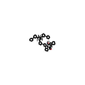 c1ccc(-c2cccc(-c3nc(-c4cccc(-c5ccccc5)c4)nc(-c4cccc(-c5ccc6c(c5)-c5ccccc5C65c6ccccc6-n6c7ccccc7c7cccc5c76)c4)n3)c2)cc1